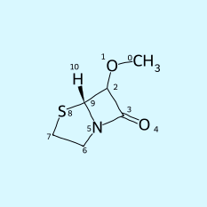 COC1C(=O)N2CCS[C@H]12